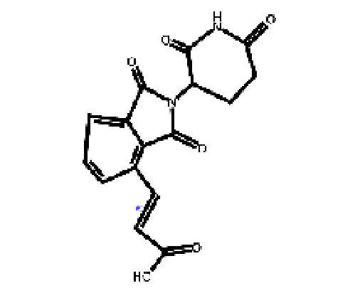 O=C(O)/C=C/c1cccc2c1C(=O)N(C1CCC(=O)NC1=O)C2=O